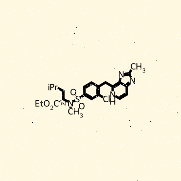 CCOC(=O)[C@H](CC(C)C)N(C)S(=O)(=O)c1ccc(Cc2[nH]ccc3nc(C)nc2-3)c(Cl)c1